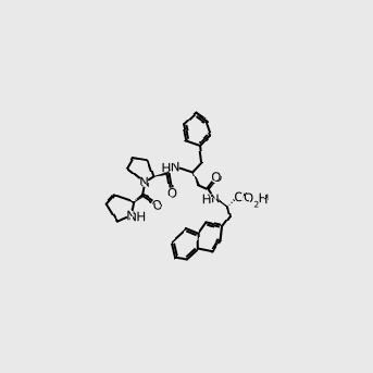 O=C(C[C@H](Cc1ccccc1)NC(=O)[C@@H]1CCCN1C(=O)[C@@H]1CCCN1)N[C@@H](Cc1ccc2ccccc2c1)C(=O)O